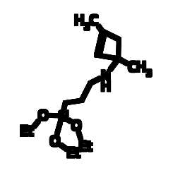 CCO[Si](CCCNC1(C)C=C(C)C1)(OCC)OCC